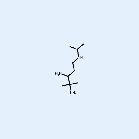 CC(C)NCCC(N)C(C)(C)N